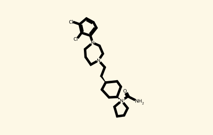 NC(=O)[N+]1([C@H]2CC[C@H](CCN3CCCN(c4cccc(Cl)c4Cl)CC3)CC2)CCCC1